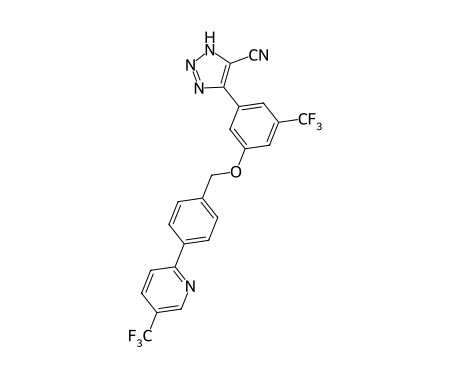 N#Cc1[nH]nnc1-c1cc(OCc2ccc(-c3ccc(C(F)(F)F)cn3)cc2)cc(C(F)(F)F)c1